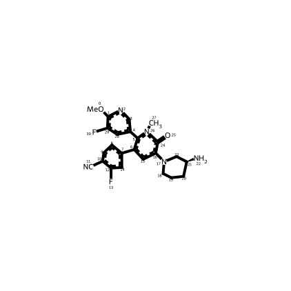 COc1ncc(-c2c(-c3ccc(C#N)c(F)c3)cc(N3CCC[C@H](N)C3)c(=O)n2C)cc1F